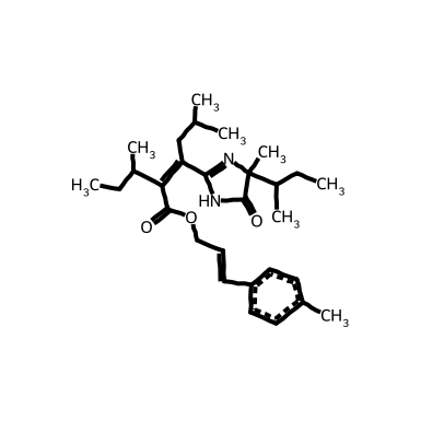 CCC(C)C(C(=O)OCC=Cc1ccc(C)cc1)=C(CC(C)C)C1=NC(C)(C(C)CC)C(=O)N1